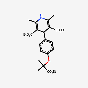 CCOC(=O)C1=C(C)NC(C)=C(C(=O)OCC)C1c1ccc(OC(C)(C)C(=O)OCC)cc1